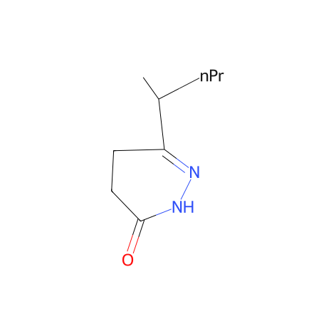 CCCC(C)C1=NNC(=O)CC1